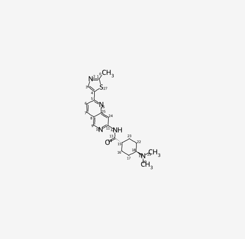 Cc1ncc(-c2ccc3cnc(NC(=O)[C@H]4CC[C@H](N(C)C)CC4)cc3n2)s1